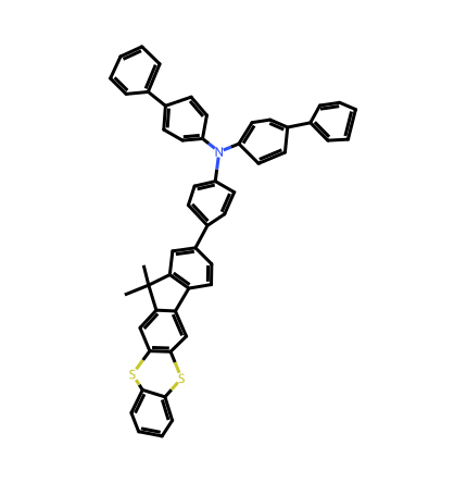 CC1(C)c2cc(-c3ccc(N(c4ccc(-c5ccccc5)cc4)c4ccc(-c5ccccc5)cc4)cc3)ccc2-c2cc3c(cc21)Sc1ccccc1S3